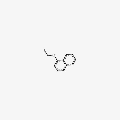 ICOc1cccc2ccccc12